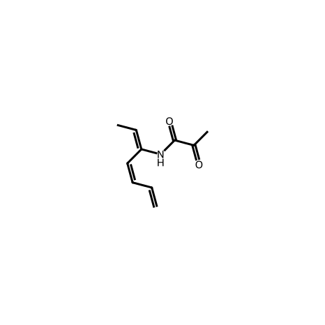 C=C/C=C\C(=C/C)NC(=O)C(C)=O